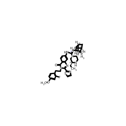 CC[C@H]1CN(/C(=N\[C@H]2C[C@H]3C[C@@H]([C@@H]2C)C3(C)C)Nc2ccc3c(=O)n(CCc4ccc(OC)cc4F)c(-c4nccs4)nc3c2)CCN1